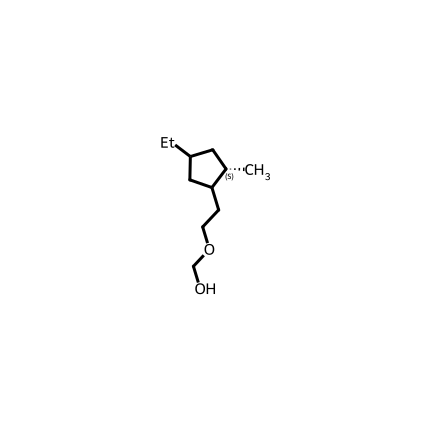 CCC1CC(CCOCO)[C@@H](C)C1